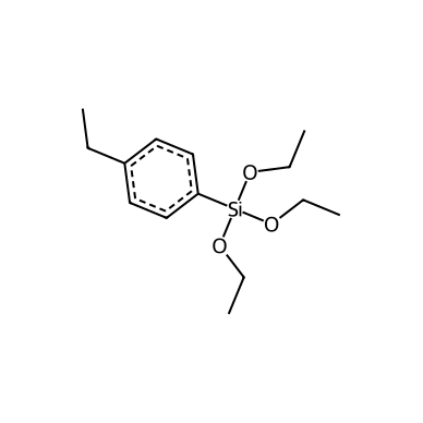 CCO[Si](OCC)(OCC)c1ccc(CC)cc1